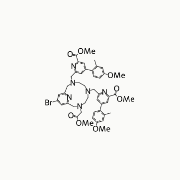 COC(=O)CN1CCN(Cc2cc(-c3ccc(OC)cc3C)cc(C(=O)OC)n2)CCN(Cc2cc(-c3ccc(OC)cc3C)cc(C(=O)OC)n2)Cc2cc(Br)cc(n2)C1